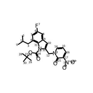 CC(C)Cc1cc(F)cc2cc(Cn3cccc([N+](=O)[O-])c3=O)n(C(=O)OC(C)(C)C)c12